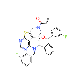 C=CC(=O)N1CCc2c(sc3ncnc(N(Cc4cccc(F)c4)[C@H](COCc4cccc(F)c4)c4ccccc4)c23)C1